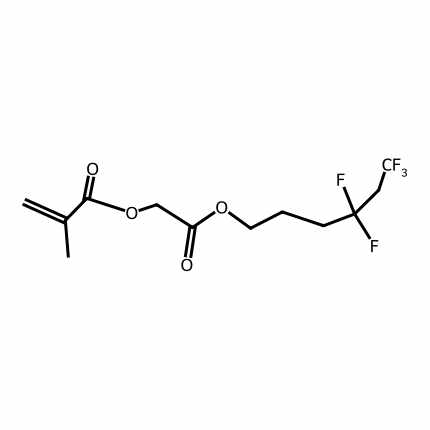 C=C(C)C(=O)OCC(=O)OCCCC(F)(F)CC(F)(F)F